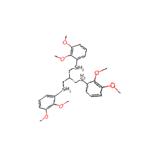 COc1cccc([SiH2]CC(C[SiH2]c2cccc(OC)c2OC)C[SiH2]c2cccc(OC)c2OC)c1OC